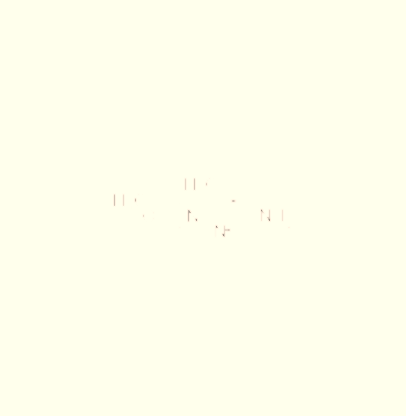 COC1CN(c2ncc(N)cc2C)C1